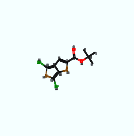 CC(C)(C)OC(=O)c1cc2c(Br)sc(Br)c2s1